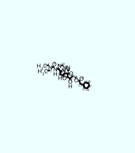 CCN(CC)C(=O)Nc1ncnn2c([C@]3(C#N)O[C@H](COC(=O)Cc4ccccc4)[C@@H](O)[C@H]3O)ccc12